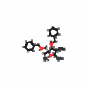 CC(=O)O[C@H]1O[C@@](COCc2ccccc2)(CC(F)(F)F)[C@@H](OCc2ccccc2)[C@H]1OC(C)=O